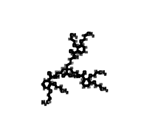 C=CCOc1cccc(C(=O)NCCCC(CCCNC(=O)c2cccc(OCC=C)c2OCC=C)(CCCNC(=O)c2cccc(OCC=C)c2OCC=C)C(=O)O)c1OCC=C